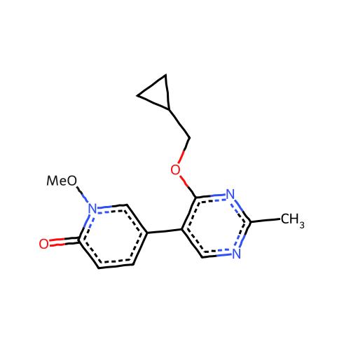 COn1cc(-c2cnc(C)nc2OCC2CC2)ccc1=O